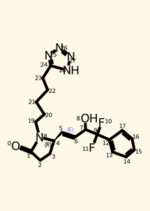 O=C1CC[C@H](/C=C/C(O)C(F)(F)c2ccccc2)N1CCCCCc1nnn[nH]1